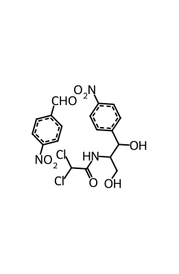 O=C(NC(CO)C(O)c1ccc([N+](=O)[O-])cc1)C(Cl)Cl.O=Cc1ccc([N+](=O)[O-])cc1